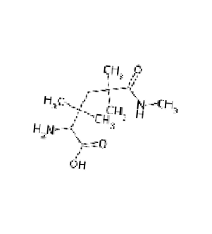 CNC(=O)C(C)(C)CC(C)(C)C(N)C(=O)O